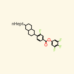 CCCCCCCC1CCC2CC(c3ccc(C(=O)Oc4cc(F)c(F)c(F)c4)cc3F)CCC2C1